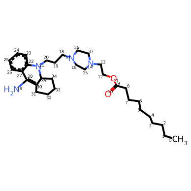 CCCCCCCCCC(=O)OCCN1CCN(CCCN2c3ccccc3C(N)=C3CCCCC32)CC1